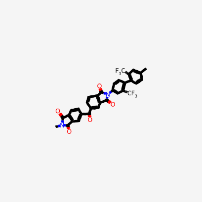 Cc1ccc(-c2ccc(N3C(=O)c4ccc(C(=O)c5ccc6c(c5)C(=O)N(C)C6=O)cc4C3=O)cc2C(F)(F)F)c(C(F)(F)F)c1